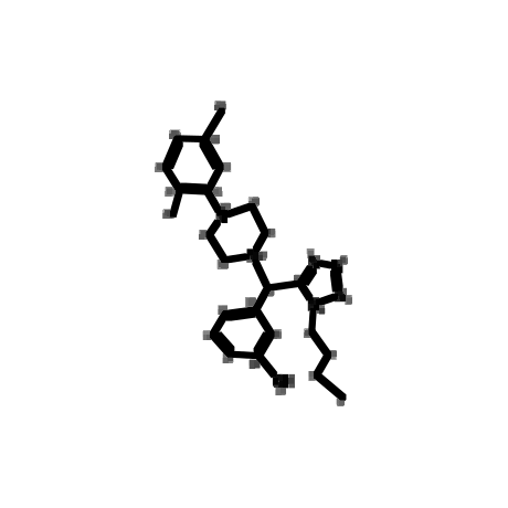 CCCCn1nnnc1C(c1cccc(O)c1)N1CCN(c2cc(C)ccc2C)CC1